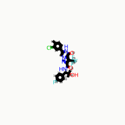 Cc1ccc(-c2cn3nc(C(=O)N[C@@H](c4ccc(F)cc4)C(C)(C)O)c(C(F)(F)F)c3c(=O)[nH]2)cc1Cl